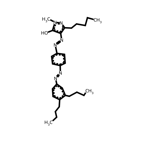 CCCCCc1nn(C)c(O)c1N=Nc1ccc(N=Nc2ccc(CCCC)c(CCCC)c2)cc1